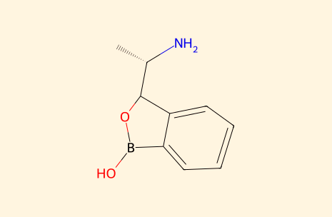 C[C@H](N)C1OB(O)c2ccccc21